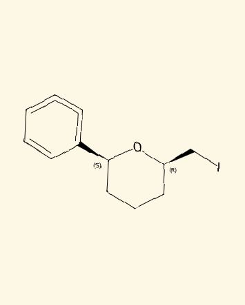 IC[C@H]1CCC[C@@H](C2=C=C=CC=C2)O1